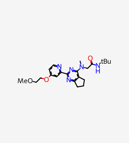 COCCOc1ccnc(-c2nc3c(c(N(C)CC(=O)NC(C)(C)C)n2)CCC3)c1